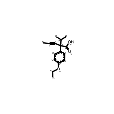 CC#CC(C(=O)O)(c1ccc(OCC)cc1)C(C)C